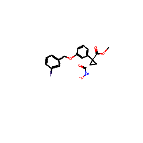 COC(=O)[C@@]1(c2cccc(OCc3cccc(I)c3)c2)C[C@@H]1C(=O)NO